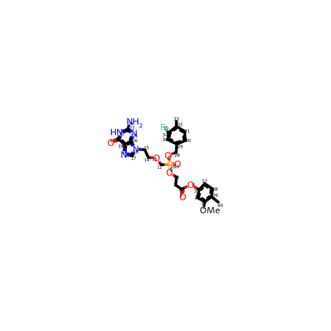 COc1cc(OC(=O)CCOP(=O)(COCCn2cnc3c(=O)[nH]c(N)nc32)OCc2ccc(C)c(F)c2)ccc1C